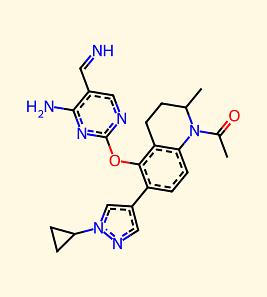 CC(=O)N1c2ccc(-c3cnn(C4CC4)c3)c(Oc3ncc(C=N)c(N)n3)c2CCC1C